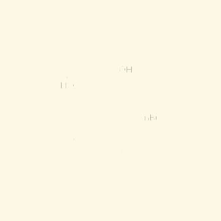 CCCCC1CCCCC1(CO)CO